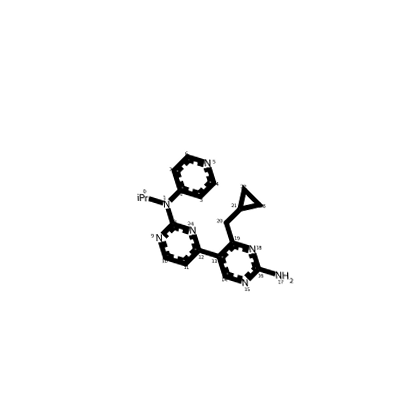 CC(C)N(c1ccncc1)c1nccc(-c2cnc(N)nc2CC2CC2)n1